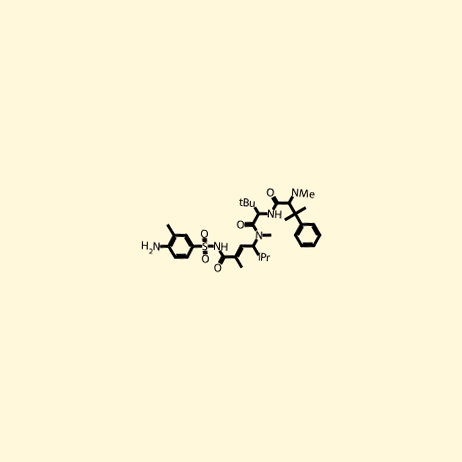 CNC(C(=O)NC(C(=O)N(C)C(C=C(C)C(=O)NS(=O)(=O)c1ccc(N)c(C)c1)C(C)C)C(C)(C)C)C(C)(C)c1ccccc1